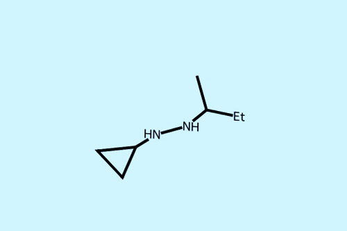 CCC(C)NNC1CC1